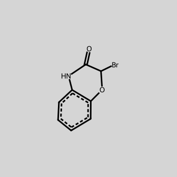 O=C1Nc2ccccc2OC1Br